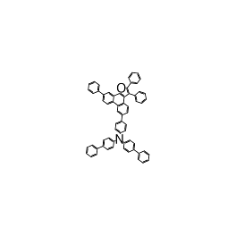 c1ccc(-c2ccc(N(c3ccc(-c4ccccc4)cc3)c3ccc(-c4ccc5c(c4)c4ccc(-c6ccccc6)cc4c4oc(-c6ccccc6)c(-c6ccccc6)c54)cc3)cc2)cc1